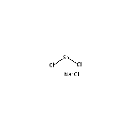 [Cl-].[Cl][Sn][Cl].[Na+]